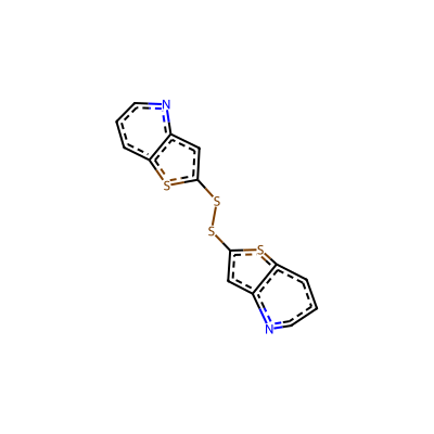 c1cnc2cc(SSc3cc4ncccc4s3)sc2c1